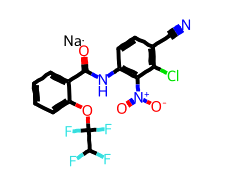 N#Cc1ccc(NC(=O)c2ccccc2OC(F)(F)C(F)F)c([N+](=O)[O-])c1Cl.[Na]